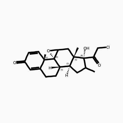 CC1C[C@H]2[C@@H]3CCC4=CC(=O)C=C[C@]4(C)[C@]34OC4C[C@]2(C)[C@@]1(O)C(=O)CCl